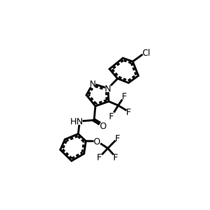 O=C(Nc1ccccc1OC(F)(F)F)c1cnn(-c2ccc(Cl)cc2)c1C(F)(F)F